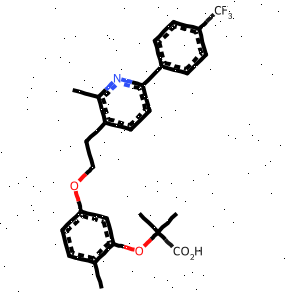 Cc1ccc(OCCc2ccc(-c3ccc(C(F)(F)F)cc3)nc2C)cc1OC(C)(C)C(=O)O